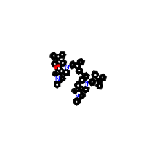 c1ccc(C2(c3ccc(N(c4ccc5c6ccccc6c6cc(-c7cccc8c(N(c9ccc(C%10(c%11ccccc%11)c%11ccccc%11-c%11ccccc%11%10)cc9)c9cccc%10c9-c9ccccc9C%109c%10ccccc%10-n%10c%11ccccc%11c%11cccc9c%11%10)cccc78)ccc6c5c4)c4cccc5c4-c4ccccc4C54c5ccccc5-n5c6ccccc6c6cccc4c65)cc3)c3ccccc3-c3ccccc32)cc1